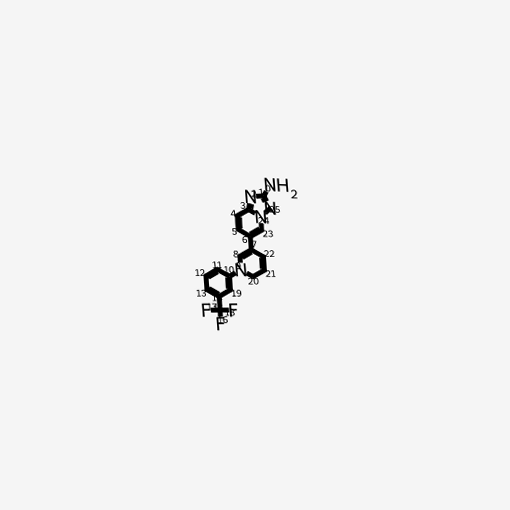 Nc1nc2ccc(C3=CN(c4cccc(C(F)(F)F)c4)CC=C3)cn2n1